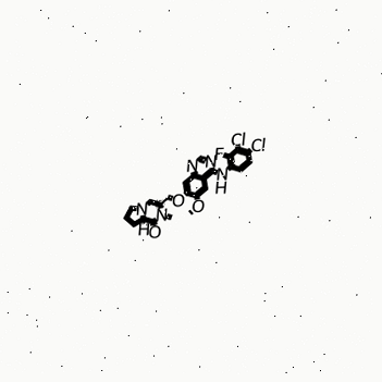 COc1cc2c(Nc3ccc(Cl)c(Cl)c3F)ncnc2cc1OC[C@@H]1CN2CCC[C@H]2C(=O)N1C